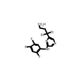 CCC(CC)(CCC(=O)O)c1cncc(Nc2cc(F)c(F)cc2F)n1